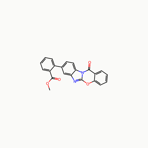 COC(=O)c1ccccc1-c1ccc2c(c1)nc1oc3ccccc3c(=O)n12